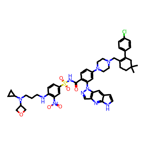 CC1(C)CCC(CN2CCN(c3ccc(C(=O)NS(=O)(=O)c4ccc(NCCCN(C5CC5)C5COC5)c([N+](=O)[O-])c4)c(-n4ncc5nc6[nH]ccc6cc54)c3)CC2)=C(c2ccc(Cl)cc2)C1